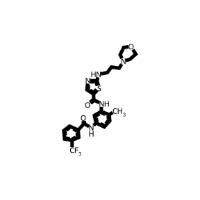 Cc1ccc(NC(=O)c2cccc(C(F)(F)F)c2)cc1NC(=O)c1cnc(NCCCN2CCOCC2)s1